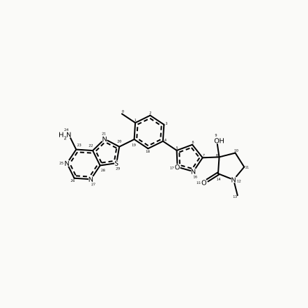 Cc1ccc(-c2cc(C3(O)CCN(C)C3=O)no2)cc1-c1nc2c(N)ncnc2s1